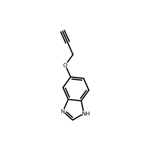 C#CCOc1ccc2[nH]cnc2c1